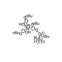 CCCCOc1ccc(-c2nc(-c3ccc(OCCCC)cc3O)nc(-c3ccc(OCCOC(=O)C(C)(CC(C)(C)CC)C(C)(C)C)cc3OCCCC)n2)c(O)c1